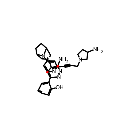 Nc1nnc(-c2ccccc2O)cc1N1CC2CCC(C1)N2c1ccnc(C#CCN2CCC(N)C2)c1